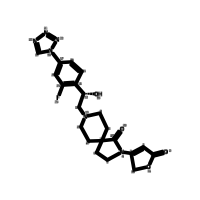 O=C1C=C(N2CCC3(CCN(C[C@@H](O)c4ccc(-n5cnnn5)cc4F)CC3)C2=O)CO1